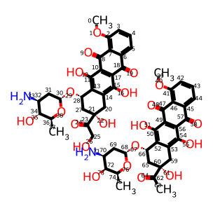 COc1cccc2c1C(=O)c1c(O)c3c(c(O)c1C2=O)C[C@@](O)(C(=O)CO)C[C@@H]3O[C@H]1C[C@H](N)[C@@H](O)[C@H](C)O1.COc1cccc2c1C(=O)c1c(O)c3c(c(O)c1C2=O)C[C@@](O)(C(C)=O)C[C@@H]3O[C@H]1C[C@H](N)[C@H](O)[C@H](C)O1